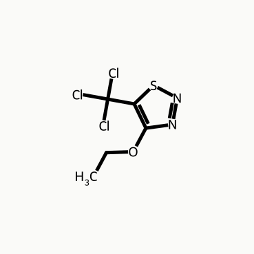 CCOc1nnsc1C(Cl)(Cl)Cl